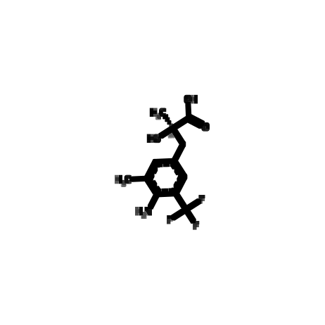 Cc1cc(C[C@@](C)(O)C(=O)O)cc(C(F)(F)F)c1N